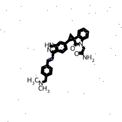 CN(C)Cc1ccc(/C=C/c2n[nH]c3cc(C4CC45C(=O)N(CC(N)=O)c4ccccc45)ccc23)cc1